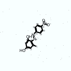 Cc1cc(O)cc(O)c1/N=N/c1ccc([N+](=O)[O-])cc1